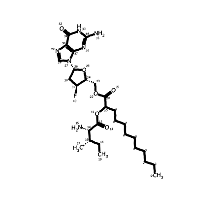 CCCCCCCCCCC(OC(=O)[C@@H](N)[C@@H](C)CC)C(=O)OC[C@H]1O[C@@H](n2cnc3c(=O)[nH]c(N)nc32)C[C@@H]1F